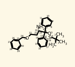 CC(C)(C)[SiH2]OC(c1ccccc1)(c1ccccc1)[C@@H](N)CCOCc1ccccc1